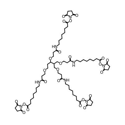 O=C(CCOCCC(OCCC(=O)NCCCCCCCC(=O)ON1C(=O)CCC1=O)C(COCCC(=O)NCCCCCCCC(=O)ON1C(=O)CCC1=O)COCCC(=O)NCCCCCCCC(=O)ON1C(=O)CCC1=O)NCCCCCCCC(=O)ON1C(=O)CCC1=O